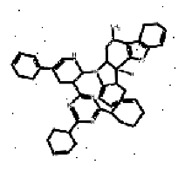 CC1CC2[C@H](c3sc4c(c31)CCC=C4)C1CC=CC=C1N2C1NC=C(C2=CC=CCC2)CC1c1nc(C2C=CCCC2)nc(C2CC=CCC2)n1